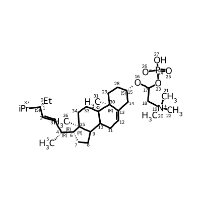 CC[C@H](C=C[C@@H](C)[C@H]1CCC2C3CC=C4C[C@@H](OC(C[N+](C)(C)C)OP(=O)([O-])O)CC[C@]4(C)C3CC[C@@]21C)C(C)C